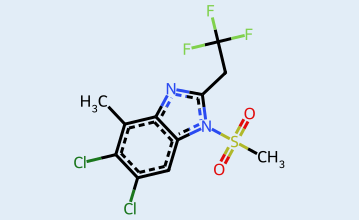 Cc1c(Cl)c(Cl)cc2c1nc(CC(F)(F)F)n2S(C)(=O)=O